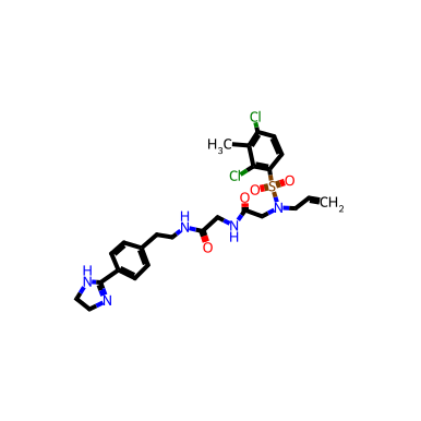 C=CCN(CC(=O)NCC(=O)NCCc1ccc(C2=NCCN2)cc1)S(=O)(=O)c1ccc(Cl)c(C)c1Cl